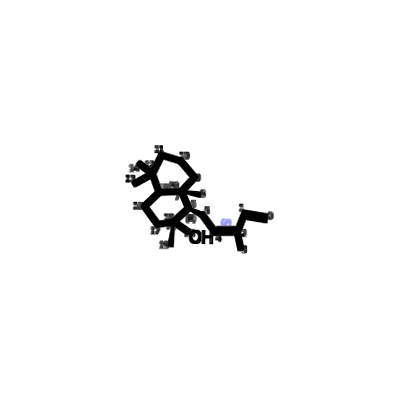 C=C/C(C)=C\C[C@@H]1[C@@]2(C)CCCC(C)(C)C2CC[C@@]1(C)O